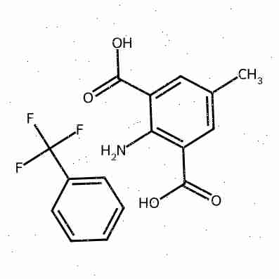 Cc1cc(C(=O)O)c(N)c(C(=O)O)c1.FC(F)(F)c1ccccc1